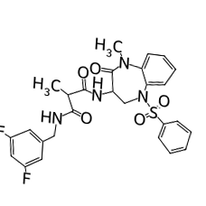 CC(C(=O)NCc1cc(F)cc(F)c1)C(=O)NC1CN(S(=O)(=O)c2ccccc2)c2ccccc2N(C)C1=O